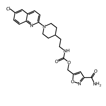 NC(=O)c1cc(COC(=O)NCCC2CCN(c3ccc4cc(Cl)ccc4n3)CC2)on1